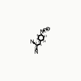 N#CC(C#N)=Cc1ccc(N=C=O)cc1